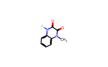 Cn1c(=O)c(=O)n(F)c2ccccc21